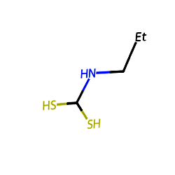 CCCNC(S)S